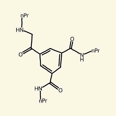 CCCNCC(=O)c1cc(C(=O)NCCC)cc(C(=O)NCCC)c1